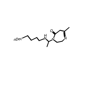 CCCCCCCCCCCCCCNC(C)N1CCN=C(C)CC1=O